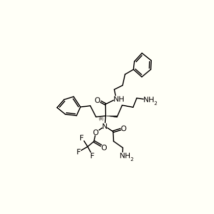 NCCCC[C@@](CCc1ccccc1)(C(=O)NCCCc1ccccc1)N(OC(=O)C(F)(F)F)C(=O)CCN